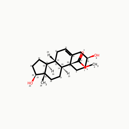 COC(=O)[C@]12CC[C@H](O)CC1=CC[C@@H]1[C@@H]2CC[C@]2(C)[C@@H](O)CC[C@@H]12